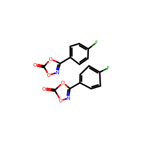 O=c1onc(-c2ccc(F)cc2)o1.O=c1onc(-c2ccc(F)cc2)o1